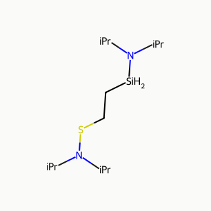 CC(C)N([SiH2]CCSN(C(C)C)C(C)C)C(C)C